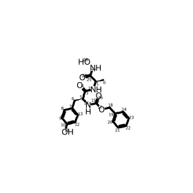 C[C@@H](NC(=O)[C@H](Cc1ccc(O)cc1)NC(=O)OCc1ccccc1)C(=O)NO